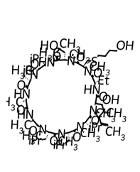 C/C=C/C[C@@H](C)[C@@H](O)[C@H]1C(=O)N[C@@H](CC)C(=O)N(C)[C@H](CSCCCCO)C(=O)N(C)[C@@H](CC(C)(C)O)C(=O)N[C@@H](C(C)C)C(=O)N(C)[C@@H](CC(C)C)C(=O)N[C@@H](C)C(=O)N[C@H](C)C(=O)N(C)[C@@H](CC(C)C)C(=O)N(C)[C@@H](CC(C)C)C(=O)N(C)[C@@H](C(C)C)C(=O)N1C